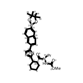 COC(=O)NN(C(=O)[C@@H]1CCCCC1c1ncc(-c2ccc3cc(B4OC(C)(C)C(C)(C)O4)ccc3c2)[nH]1)C(C)C